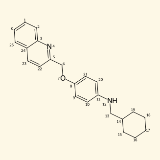 c1ccc2nc(COc3ccc(NCC4CCCCC4)cc3)ccc2c1